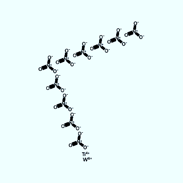 O=[N+]([O-])[O-].O=[N+]([O-])[O-].O=[N+]([O-])[O-].O=[N+]([O-])[O-].O=[N+]([O-])[O-].O=[N+]([O-])[O-].O=[N+]([O-])[O-].O=[N+]([O-])[O-].O=[N+]([O-])[O-].O=[N+]([O-])[O-].[Ti+4].[W+6]